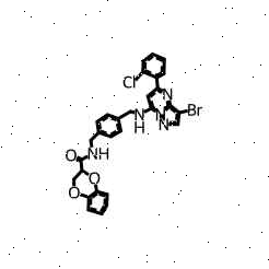 O=C(NCc1ccc(CNc2cc(-c3ccccc3Cl)nc3c(Br)cnn23)cc1)C1COc2ccccc2O1